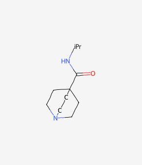 CC(C)NC(=O)C12CCN(CC1)CC2